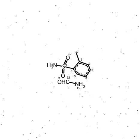 Cc1ccccc1S(N)(=O)=O.NC=O